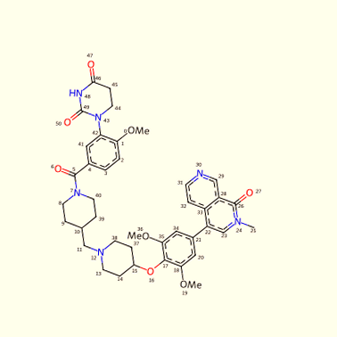 COc1ccc(C(=O)N2CCC(CN3CCC(Oc4c(OC)cc(-c5cn(C)c(=O)c6cnccc56)cc4OC)CC3)CC2)cc1N1CCC(=O)NC1=O